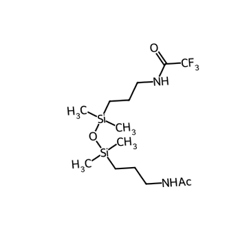 CC(=O)NCCC[Si](C)(C)O[Si](C)(C)CCCNC(=O)C(F)(F)F